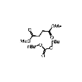 CCCCOC(=O)OCCCC.COC(=O)CCC(=O)OC